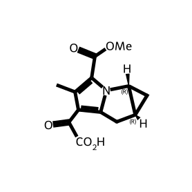 COC(=O)c1c(C)c(C(=O)C(=O)O)c2n1[C@@H]1C[C@@H]1C2